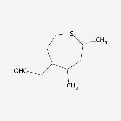 CC1C[C@@H](C)SCCC1CC=O